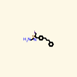 NCc1nc(-c2ccc(CCCc3ccccc3)cc2)c(CI)s1